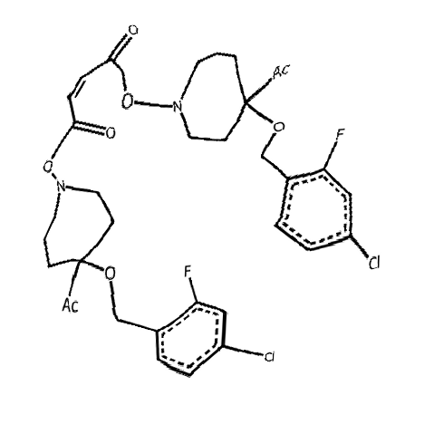 CC(=O)C1(OCc2ccc(Cl)cc2F)CCN(OC(=O)/C=C\C(=O)ON2CCC(OCc3ccc(Cl)cc3F)(C(C)=O)CC2)CC1